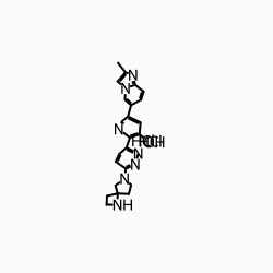 Cc1cn2cc(-c3cnc(-c4ccc(N5CCC6(CCN6)C5)nn4)c(O)c3)ccc2n1.Cl.Cl